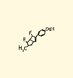 CCOc1ccc(C2=CC3CC(C)C(F)C3C2F)cc1